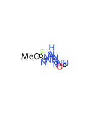 COc1cc(F)cc(-c2cncc3[nH]c(-c4n[nH]c5cnc(-c6cncc(NC(=O)c7ccccc7)c6)cc45)nc23)c1